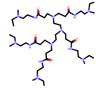 CCN(C)CCNC(=O)CCN(CCC(=O)NCCN(C)CC)CCN(CCC(=O)NCCN(C)CC)CCN(CCC(=O)NCCN(C)CC)CCC(=O)NCCN(C)CC